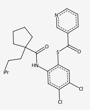 CC(C)CCC1(C(=O)Nc2cc(Cl)c(Cl)cc2SC(=O)c2cccnc2)CCCC1